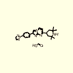 CC1(C)CC(c2ccn3cc(-c4ccc(-n5nccn5)cc4)nc3n2)CC(C)(C)N1.O=CO